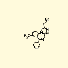 FC(F)(F)c1ccc2c(c1)C(c1ccccc1)=NCC1=NN=C(CCBr)CN12